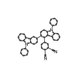 N#Cc1ccc(-c2c(-c3ccc4c(c3)c3ccccc3n4-c3ccccc3)ccc3c2c2ccccc2n3-c2ccccc2)cc1C#N